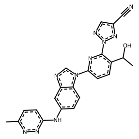 Cc1ccc(Nc2ccc3c(c2)ncn3-c2ccc(C(C)O)c(-n3ncc(C#N)n3)n2)nn1